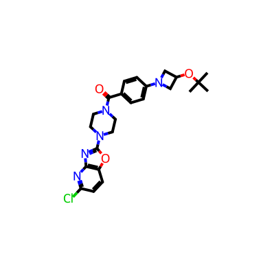 CC(C)(C)OC1CN(c2ccc(C(=O)N3CCN(c4nc5nc(Cl)ccc5o4)CC3)cc2)C1